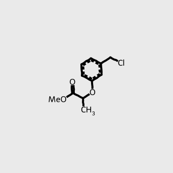 COC(=O)C(C)Oc1cccc(CCl)c1